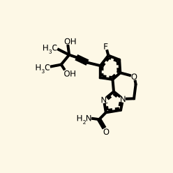 CC(O)C(C)(O)C#Cc1cc2c(cc1F)OCCn1cc(C(N)=O)nc1-2